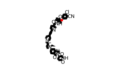 CC1(C)[C@H](NC(=O)c2ccc(C#CC3CCN(CC4CCN(c5ccc6c(=O)n(C7CCC(=O)NC7=O)nnc6c5)CC4)CC3)nc2)C(C)(C)[C@H]1Oc1ccc(C#N)c(Cl)c1